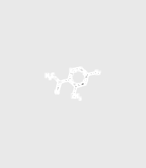 CC(=O)c1ncc(Br)cc1N